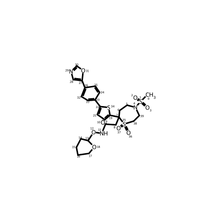 CS(=O)(=O)N1CCC(CC(=O)NOC2CCCCO2)(c2ccc(-c3ccc(-c4cnco4)cc3)s2)S(=O)(=O)CC1